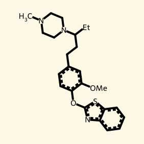 CCC(CCc1ccc(Oc2nc3ccccc3s2)c(OC)c1)N1CCN(C)CC1